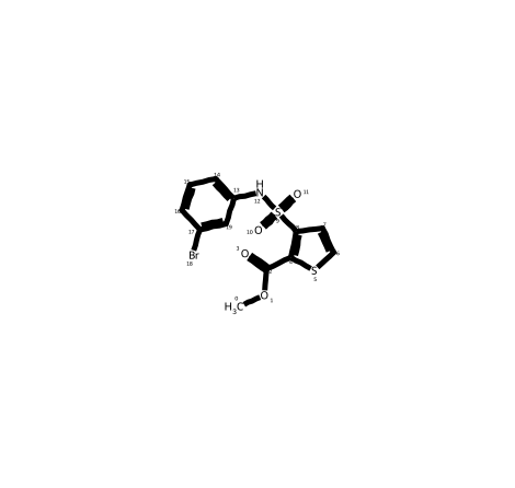 COC(=O)c1sccc1S(=O)(=O)Nc1cccc(Br)c1